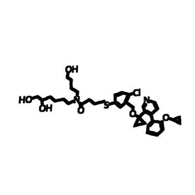 O=C(CCCSc1ccc(Cl)c(COC2(c3cnccc3-c3ccccc3OC3CC3)CC2)c1)N(CCCCO)CCCCC(O)CO